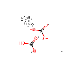 O=C(O)O.O=C(O)O.[CaH2].[CaH2].[CaH2]